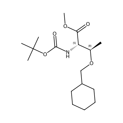 COC(=O)[C@@H](NC(=O)OC(C)(C)C)[C@@H](C)OCC1CCCCC1